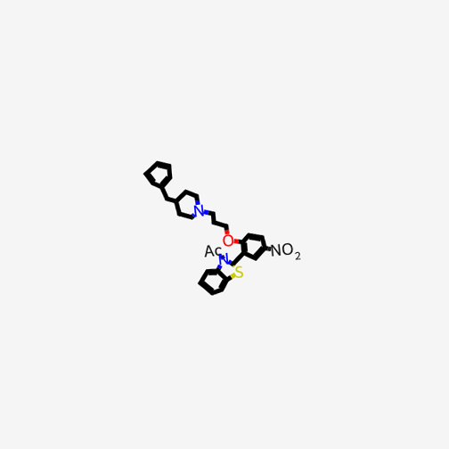 CC(=O)N1c2ccccc2SC1c1cc([N+](=O)[O-])ccc1OCCCN1CCC(Cc2ccccc2)CC1